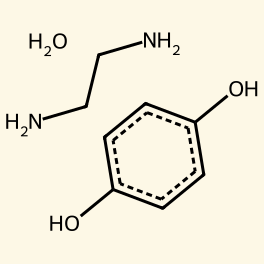 NCCN.O.Oc1ccc(O)cc1